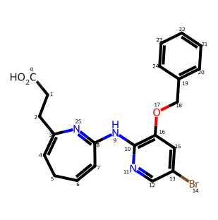 O=C(O)CCC1=CCC=CC(Nc2ncc(Br)cc2OCc2ccccc2)=N1